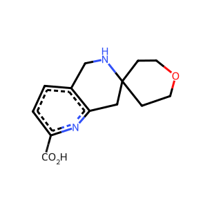 O=C(O)c1ccc2c(n1)CC1(CCOCC1)NC2